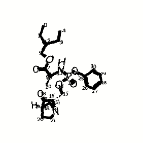 CCC(CC)COC(=O)[C@H](C)NP(=O)(OC[C@H]1C(=O)[C@@H]2CCN1C2)Oc1ccccc1